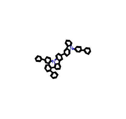 c1ccc(-c2ccc(-n3c4ccccc4c4cc(-c5ccc6c(c5)c5cccc(-c7ccccc7-c7ccccc7)c5n6-c5ccc(-c6ccccc6)cc5)ccc43)cc2)cc1